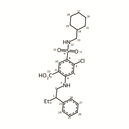 CCC(CNc1cc(Cl)c(S(=O)(=O)NCC2CCCCC2)cc1C(=O)O)c1ccccc1